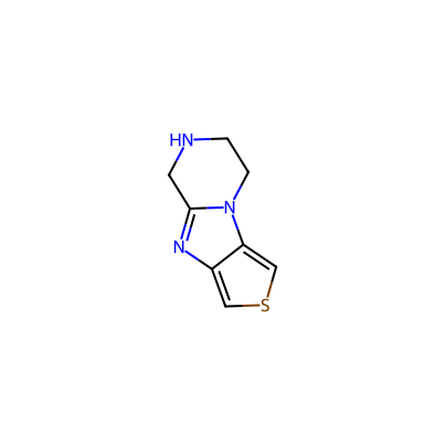 c1scc2c1nc1n2CCNC1